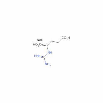 N=C(N)N[C@H](CCC(=O)O)C(=O)O.[NaH]